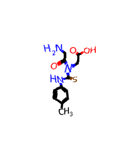 Cc1ccc(NC(=S)N(CC(=O)O)C(=O)CN)cc1